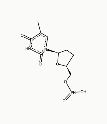 Cc1cn([C@H]2CC[C@@H](CO[PH](=O)O)O2)c(=O)[nH]c1=O